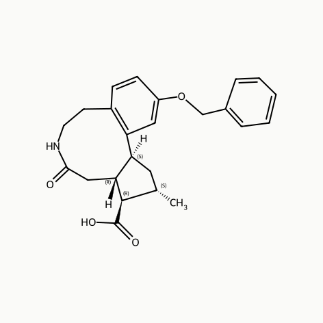 C[C@H]1C[C@@H]2c3cc(OCc4ccccc4)ccc3CCNC(=O)C[C@H]2[C@@H]1C(=O)O